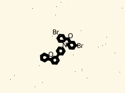 O=c1c2cc(Br)ccc2n(-c2ccc(-c3cccc4c3oc3ccccc34)cc2)c2ccc(Br)cc12